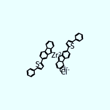 C1=CC2=[C]([Zr+2][C]3=C4C=CC=CC4c4ccc(-c5ccc(-c6ccccc6)s5)cc43)c3cc(-c4ccc(-c5ccccc5)s4)ccc3C2C=C1.[Cl-].[Cl-]